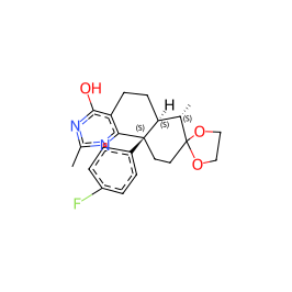 Cc1nc(O)c2c(n1)[C@@]1(c3ccc(F)cc3)CCC3(OCCO3)[C@@H](C)[C@@H]1CC2